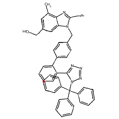 CCCc1nc2c(C)cc(CO)cc2n1Cc1ccc(-c2ccccc2-c2nnnn2C(c2ccccc2)(c2ccccc2)c2ccccc2)cc1